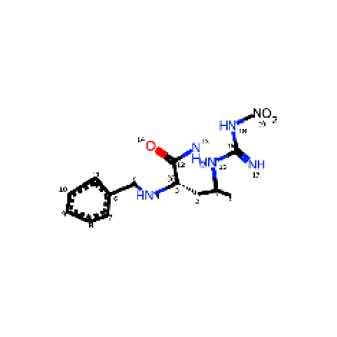 CC(C[C@H](NCc1ccccc1)C(N)=O)NC(=N)N[N+](=O)[O-]